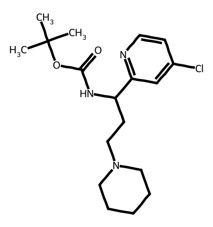 CC(C)(C)OC(=O)NC(CCN1CCCCC1)c1cc(Cl)ccn1